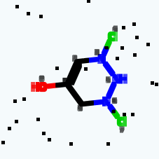 OC1=CN(Cl)NN(Cl)C1